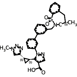 C[C@H]1Cc2ccccc2S(=O)(=O)N(Cc2cccc(-c3cccc(-n4ncc(C(=O)O)c4[C@H]4C[C@@H]4c4cn(C)nn4)c3)c2)C1